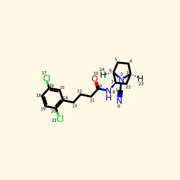 N#CN1[C@H]2CC[C@@H]1[C@H](NC(=O)CCCc1cc(Cl)ccc1Cl)C2